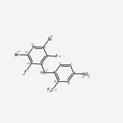 O=[N+]([O-])c1ccc(Nc2c(F)c(Br)nc(Br)c2F)c(C(F)(F)F)c1